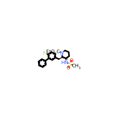 CCOC(=O)N1CCC[C@@H](NS(C)(=O)=O)[C@H]1Cc1ccc(F)c(-c2ccccc2)c1